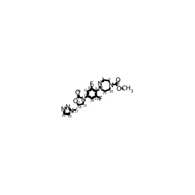 COC(=O)N1CC=NN(c2c(F)cc(N3C[C@H](Cn4ccnn4)OC3=O)cc2F)CC1